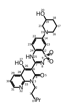 CC(C)CCn1c(=O)c(C2=NS(=O)(=O)c3cc(N4CCCC(O)C4)ccc3N2)c(O)c2cccnc21